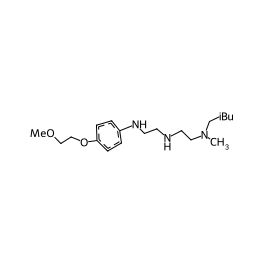 CCC(C)CN(C)CCNCCNc1ccc(OCCOC)cc1